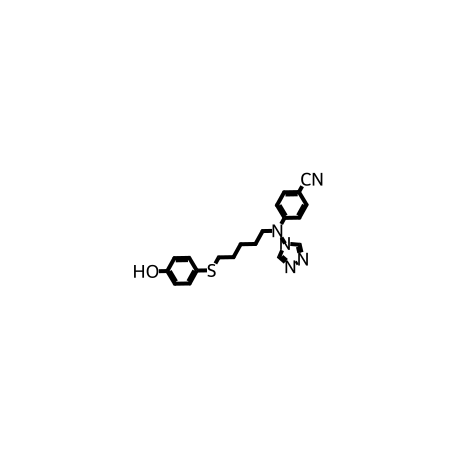 N#Cc1ccc(N(CCCCCSc2ccc(O)cc2)n2cnnc2)cc1